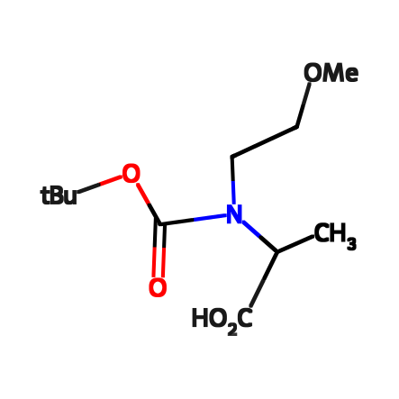 COCCN(C(=O)OC(C)(C)C)C(C)C(=O)O